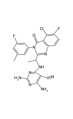 Cc1cc(F)cc(-n2c(C(C)Nc3nc(N)nc(N)c3C#N)nc3ccc(F)c(Cl)c3c2=O)c1